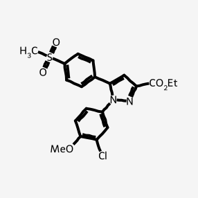 CCOC(=O)c1cc(-c2ccc(S(C)(=O)=O)cc2)n(-c2ccc(OC)c(Cl)c2)n1